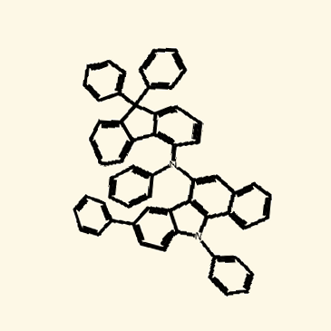 c1ccc(-c2ccc3c(c2)c2c(N(c4ccccc4)c4cccc5c4-c4ccccc4C5(c4ccccc4)c4ccccc4)cc4ccccc4c2n3-c2ccccc2)cc1